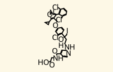 O=C(O)CNC(=O)c1ccnc(NCCC(O)(CI)c2ccc(OCc3c(-c4c(Cl)cccc4Cl)noc3C3CC3)cc2Cl)c1